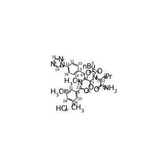 CCCCS(=O)(=O)N(C(=O)[C@H](Cc1ccc(-n2cncn2)cc1)N(C)C(=O)c1cc(C)cc(C)c1)[C@H](C(N)=O)C(C)C.Cl